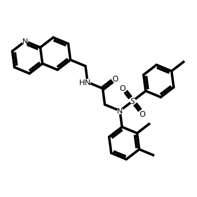 Cc1ccc(S(=O)(=O)N(CC(=O)NCc2ccc3ncccc3c2)c2cccc(C)c2C)cc1